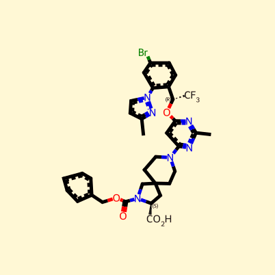 Cc1ccn(-c2cc(Br)ccc2[C@@H](Oc2cc(N3CCC4(CC3)C[C@@H](C(=O)O)N(C(=O)OCc3ccccc3)C4)nc(C)n2)C(F)(F)F)n1